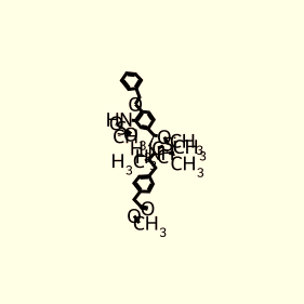 COC(=O)Cc1ccc(C[C@@H](C)NC[C@H](O[Si](C)(C)C(C)(C)C)c2ccc(OCc3ccccc3)c(NS(C)(=O)=O)c2)cc1